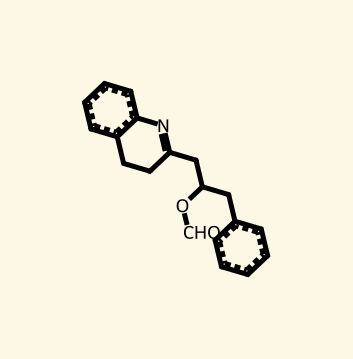 O=COC(CC1=Nc2ccccc2CC1)Cc1ccccc1